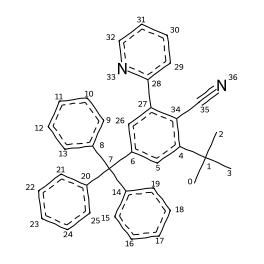 CC(C)(C)c1cc(C(c2ccccc2)(c2ccccc2)c2ccccc2)cc(-c2ccccn2)c1C#N